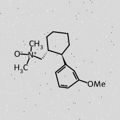 COc1cccc([C@@H]2CCCC[C@H]2C[N+](C)(C)[O-])c1